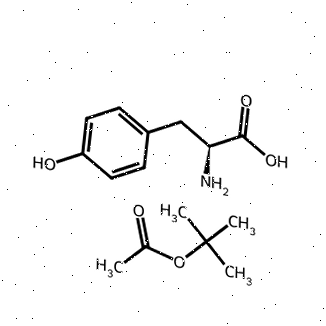 CC(=O)OC(C)(C)C.N[C@@H](Cc1ccc(O)cc1)C(=O)O